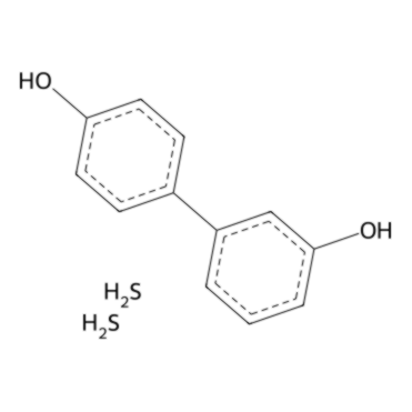 Oc1ccc(-c2cccc(O)c2)cc1.S.S